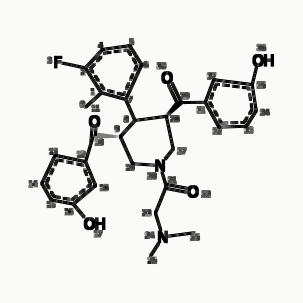 Cc1c(F)cccc1C1[C@@H](C(=O)c2cccc(O)c2)CN(C(=O)CN(C)C)C[C@@H]1C(=O)c1cccc(O)c1